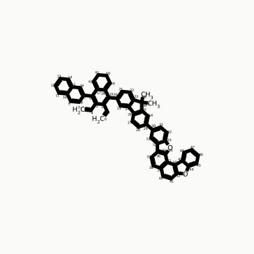 C=Cc1c(C=C)c(-c2ccc3ccccc3c2)c2c(c1-c1ccc3c(c1)-c1ccc(-c4ccc5oc6c(ccc7ccc8oc9ccccc9c8c76)c5c4)cc1C3(C)C)=CCCC=2